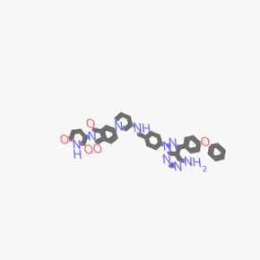 Nc1ncnc2c1c(-c1ccc(Oc3ccccc3)cc1)nn2C1CCC(CN[C@@H]2CCCN(c3ccc4c(c3)C(=O)N(C3CCC(=O)NC3=O)C4=O)C2)CC1